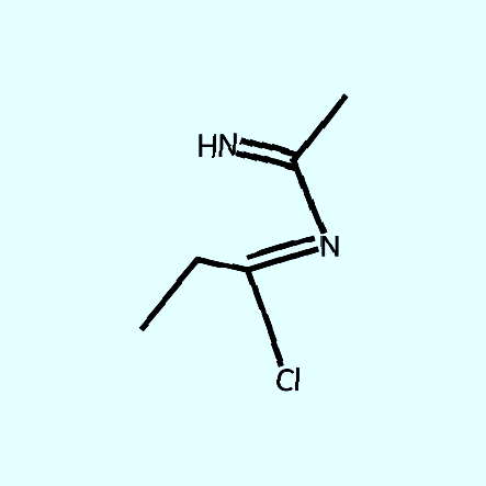 CC/C(Cl)=N\C(C)=N